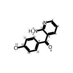 Nc1ncccc1C(=O)c1ccc(Cl)cc1